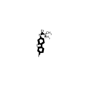 CCC(=Nc1ccc2c(c1)sc1cc(F)ccc12)N(C)C